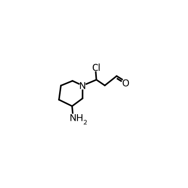 NC1CCCN(C(Cl)CC=O)C1